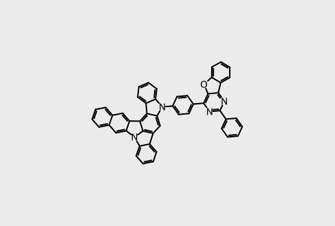 c1ccc(-c2nc(-c3ccc(-n4c5ccccc5c5c6c7cc8ccccc8cc7n7c8ccccc8c(cc54)c67)cc3)c3oc4ccccc4c3n2)cc1